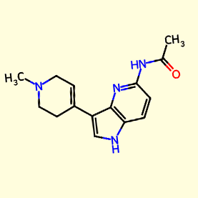 CC(=O)Nc1ccc2[nH]cc(C3=CCN(C)CC3)c2n1